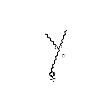 CCCCCCCCOC(CCCCCCCCC=Cc1ccc([P+](C)(C)C)cc1)OCCCCCCCC.[Cl-]